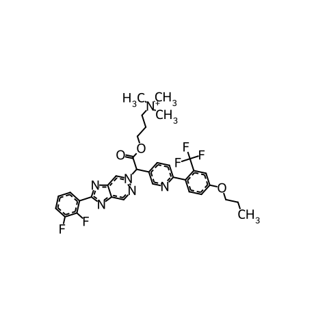 CCCOc1ccc(-c2ccc(C(C(=O)OCCC[N+](C)(C)C)n3cc4nc(-c5cccc(F)c5F)nc-4cn3)cn2)c(C(F)(F)F)c1